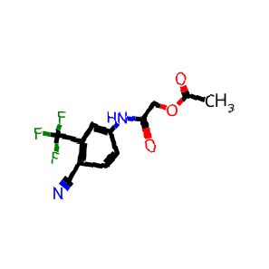 CC(=O)OCC(=O)Nc1ccc(C#N)c(C(F)(F)F)c1